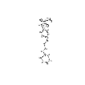 CS(=O)(=O)Nc1ccc(CCCCN2CCCCC2)cc1